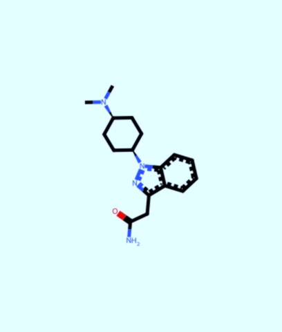 CN(C)[C@H]1CC[C@@H](n2nc(CC(N)=O)c3ccccc32)CC1